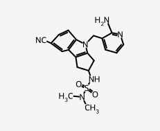 CN(C)S(=O)(=O)NC1Cc2c(n(Cc3cccnc3N)c3ccc(C#N)cc23)C1